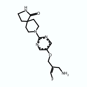 NC/C(=C\F)COc1cnc(N2CCC3(CCNC3=O)CC2)nc1